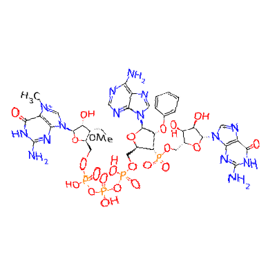 COC[C@H]1[C@@H](O)[C@H](n2c[n+](C)c3c(=O)[nH]c(N)nc32)O[C@@H]1COP(=O)(O)OP(=O)(O)OP(=O)(O)OC[C@H]1O[C@@H](n2cnc3c(N)ncnc32)[C@H](Oc2ccccc2)[C@@H]1P(=O)([O-])OC[C@H]1O[C@@H](n2cnc3c(=O)[nH]c(N)nc32)[C@H](O)[C@@H]1O